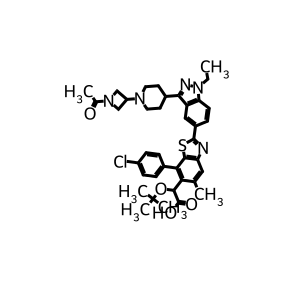 CCn1nc(C2CCN(C3CN(C(C)=O)C3)CC2)c2cc(-c3nc4cc(C)c(C(OC(C)(C)C)C(=O)O)c(-c5ccc(Cl)cc5)c4s3)ccc21